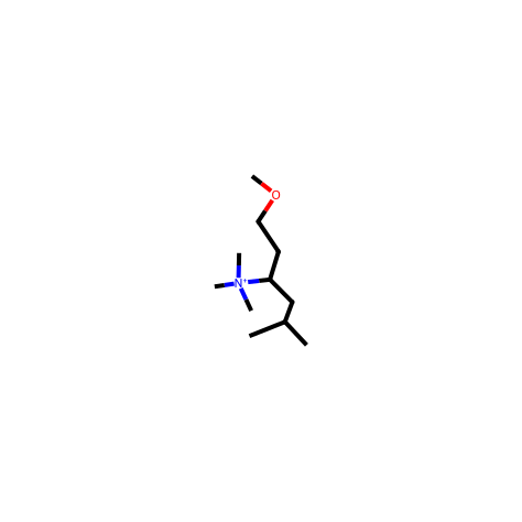 COCCC(CC(C)C)[N+](C)(C)C